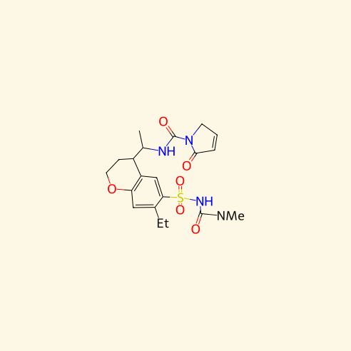 CCc1cc2c(cc1S(=O)(=O)NC(=O)NC)C(C(C)NC(=O)N1CC=CC1=O)CCO2